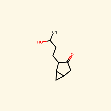 N#CC(O)CCC1C(=O)CC2CC21